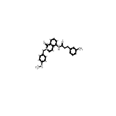 Cc1cccc(CCC(=O)Nc2cccc3c(=O)n(Cc4ccc(OC(F)(F)F)cc4)ccc23)c1